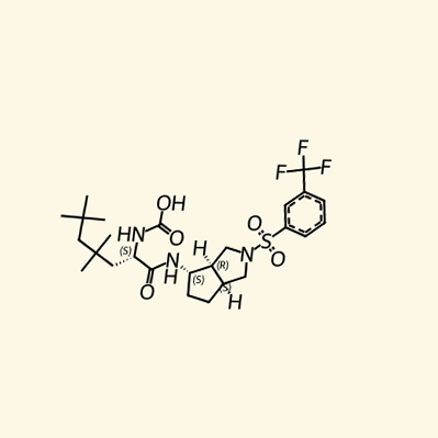 CC(C)(C)CC(C)(C)C[C@H](NC(=O)O)C(=O)N[C@H]1CC[C@@H]2CN(S(=O)(=O)c3cccc(C(F)(F)F)c3)C[C@@H]21